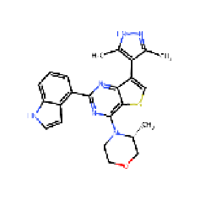 Cc1n[nH]c(C)c1-c1csc2c(N3CCOC[C@H]3C)nc(-c3cccc4[nH]ccc34)nc12